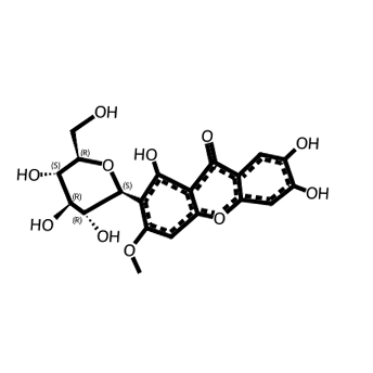 COc1cc2oc3cc(O)c(O)cc3c(=O)c2c(O)c1[C@@H]1O[C@H](CO)[C@@H](O)[C@H](O)[C@H]1O